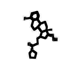 C[C@]12CCC3c4cccc(F)c4CCC3C1C(CCC(=O)N1CCCC1)C/C2=N\O